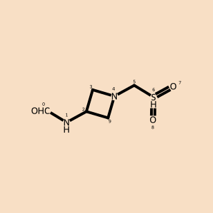 O=CNC1CN(C[SH](=O)=O)C1